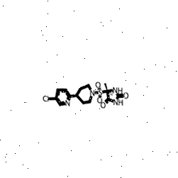 C[C@@]1(S(=O)(=O)N2CCC(c3ccc(Cl)cn3)CC2)NC(=O)NC1=O